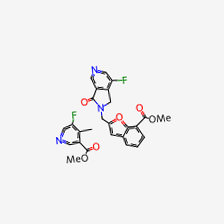 COC(=O)c1cccc2cc(CN3Cc4c(F)cncc4C3=O)oc12.COC(=O)c1cncc(F)c1C